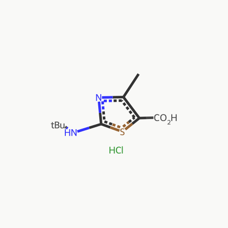 Cc1nc(NC(C)(C)C)sc1C(=O)O.Cl